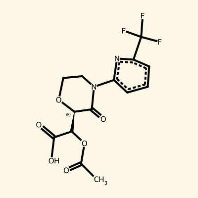 CC(=O)OC(C(=O)O)[C@H]1OCCN(c2cccc(C(F)(F)F)n2)C1=O